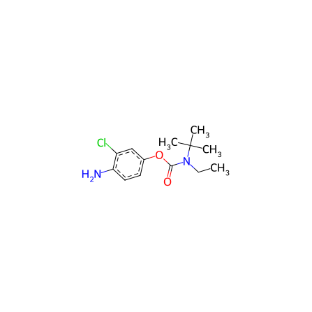 CCN(C(=O)Oc1ccc(N)c(Cl)c1)C(C)(C)C